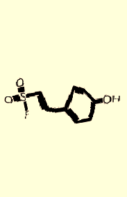 O=S(=O)(F)/C=C/c1ccc(O)cc1